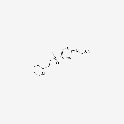 N#CCOc1ccc(S(=O)(=O)CCC2CCCCN2)cc1